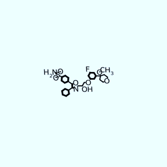 COC1(c2cc(F)cc(OCC(O)c3nc(-c4ccccc4)c(-c4ccc(S(N)(=O)=O)cc4)o3)c2)CCOCC1